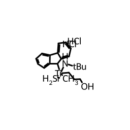 CC(C)(C)[NH][Ti]([CH3])(=[SiH2])([CH2]CCO)[CH]1c2ccccc2-c2ccccc21.Cl.Cl